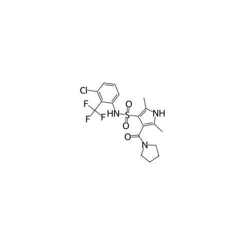 Cc1[nH]c(C)c(S(=O)(=O)Nc2cccc(Cl)c2C(F)(F)F)c1C(=O)N1CCCC1